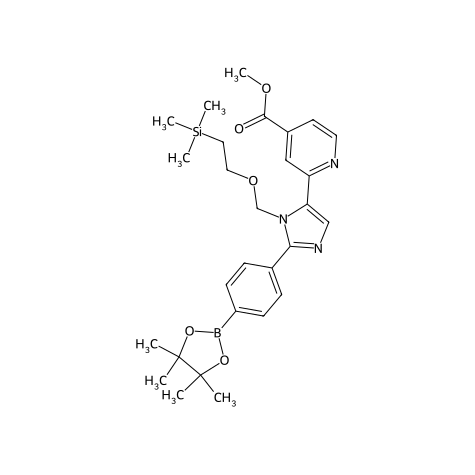 COC(=O)c1ccnc(-c2cnc(-c3ccc(B4OC(C)(C)C(C)(C)O4)cc3)n2COCC[Si](C)(C)C)c1